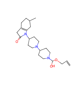 C=CCOC(O)N1CCC(N2CCC(N3C(=O)CC4=C3CC(C)CC4)CC2)CC1